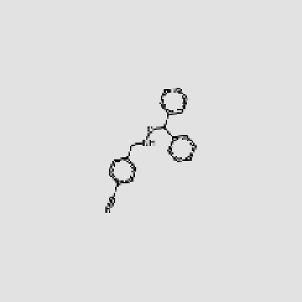 N#Cc1ccc(CNOC(c2ccccc2)c2ccccc2)cc1